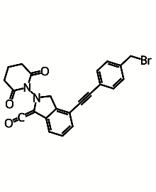 O=C=C1c2cccc(C#Cc3ccc(CBr)cc3)c2CN1N1C(=O)CCCC1=O